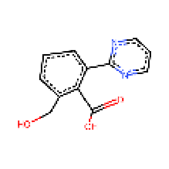 O=C(O)c1c(CO)cccc1-c1ncccn1